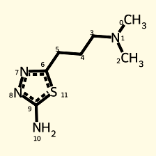 CN(C)CCCc1nnc(N)s1